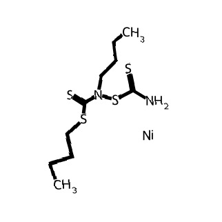 CCCCSC(=S)N(CCCC)SC(N)=S.[Ni]